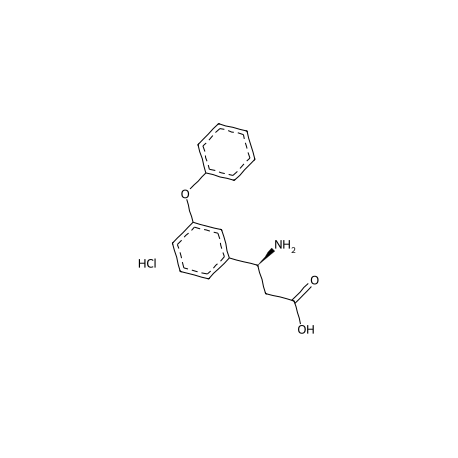 Cl.N[C@@H](CC(=O)O)c1cccc(Oc2ccccc2)c1